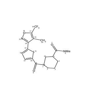 CNC(=O)C1CCCN(C(=O)c2ccc(-c3noc(C(F)(F)F)c3C)s2)C1